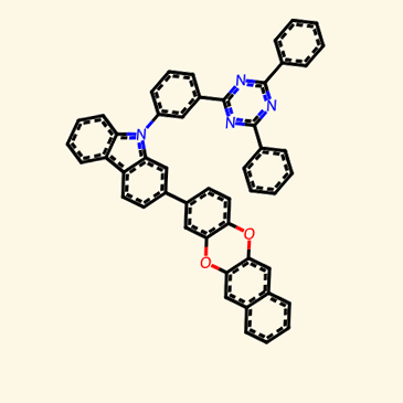 c1ccc(-c2nc(-c3ccccc3)nc(-c3cccc(-n4c5ccccc5c5ccc(-c6ccc7c(c6)Oc6cc8ccccc8cc6O7)cc54)c3)n2)cc1